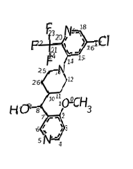 COc1ccncc1C(O)C1CCN(c2cc(Cl)cnc2C(F)(F)F)CC1